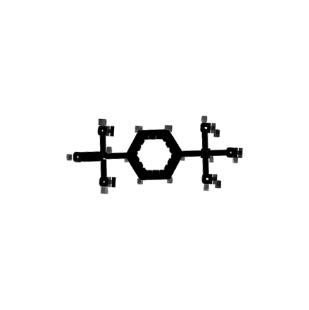 C[Si](C)(O)c1ccc(P(=O)(O)O)cc1